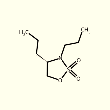 CCC[C@H]1COS(=O)(=O)N1CCC